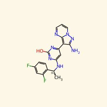 C[C@H](Nc1cc(-c2c(N)nn3cccnc23)nc(O)n1)c1ccc(F)cc1F